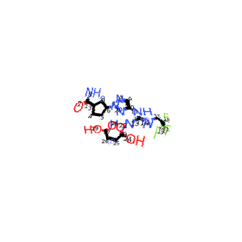 NC(=O)C1CCC(n2ncc(N/C(N)=N\CC(F)(F)F)n2)C1.O=C(O)/C=C\C(=O)O